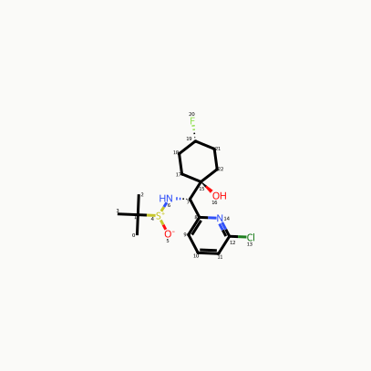 CC(C)(C)[S+]([O-])N[C@@H](c1cccc(Cl)n1)[C@]1(O)CC[C@H](F)CC1